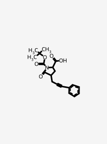 CC(C)(C)OC(=O)N1C(=O)C(CC#Cc2ccccc2)CC1C(=O)O